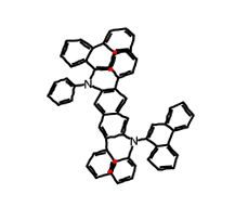 c1ccc(-c2cc3cc(N(c4ccccc4)c4cc5ccccc5c5ccccc45)c(-c4ccccc4)cc3cc2N(c2ccccc2)c2cc3ccccc3c3ccccc23)cc1